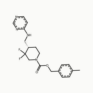 Cc1ccc(COC(=O)N2CC[C@@H](CNc3ccncn3)C(F)(F)C2)cc1